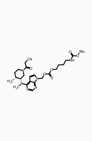 C[C@@H]1CCN(C(=O)CC#N)C[C@@H]1N(C)c1ncnc2c1ccn2COC(=O)OCCCCNC(=O)OC(C)(C)C